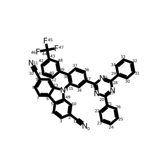 N#Cc1ccc2c3ccc(C#N)cc3n(-c3cc(-c4nc(-c5ccccc5)nc(-c5ccccc5)n4)ccc3-c3cccc(C(F)(F)F)c3)c2c1